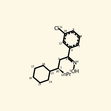 CCC[C@H](CC(=NO)c1cccc(Cl)c1)C1CCCCC1